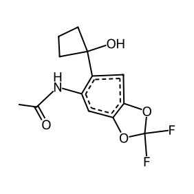 CC(=O)Nc1cc2c(cc1C1(O)CCC1)OC(F)(F)O2